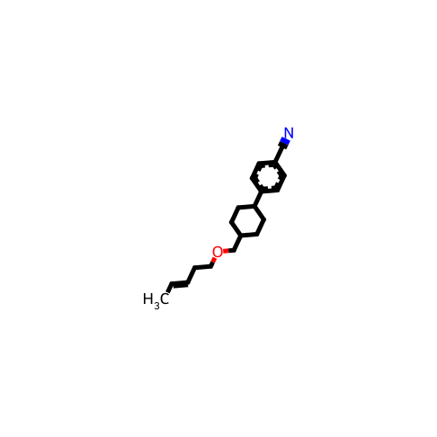 C/C=C/CCOCC1CCC(c2ccc(C#N)cc2)CC1